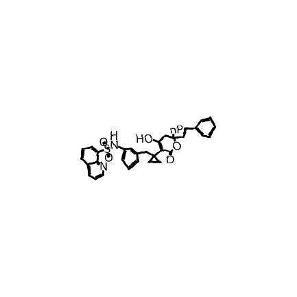 CCCC1(CCc2ccccc2)CC(O)=C(C2(Cc3cccc(NS(=O)(=O)c4cccc5cccnc45)c3)CC2)C(=O)O1